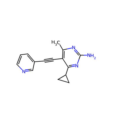 Cc1nc(N)nc(C2CC2)c1C#Cc1cccnc1